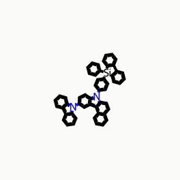 c1ccc([Si]2(c3ccc(-n4c5ccc(-n6c7ccccc7c7ccccc76)cc5c5c6ccccc6ccc54)cc3)c3ccccc3-c3ccccc32)cc1